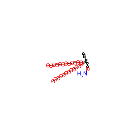 COCCOCCOCCOCCOCCOCCOCCOCCOCCOCCOCCOCCCC1(CCCOCCOCCOCCOCCOCCOCCOCCOCCOCCOCCOCCOC)c2cc(-c3ccc(OCCCCN)cc3)ccc2-c2ccc(-c3ccc4c(c3)Cc3ccccc3-4)cc21